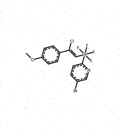 COc1ccc(C(Cl)=CS(F)(F)(F)(F)c2ccc(Br)cn2)cc1